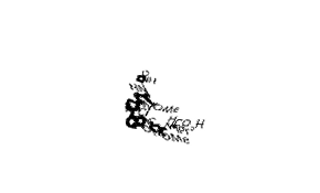 COc1nc(-c2cccc(-c3cccc4c3CC[C@@H]4Oc3nc(OC)c(CN[C@H](C(=O)O)C(C)C)cc3C(F)(F)F)c2Cl)ccc1CNC[C@@H]1CCC(=O)N1